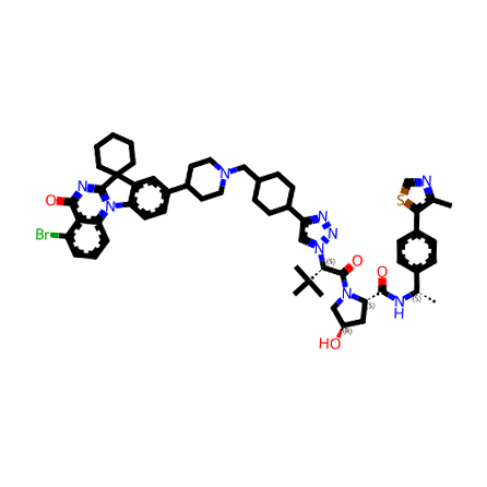 Cc1ncsc1-c1ccc([C@H](C)NC(=O)[C@@H]2C[C@@H](O)CN2C(=O)[C@@H](n2cc(C3CCC(CN4CCC(c5ccc6c(c5)C5(CCCCC5)c5nc(=O)c7c(Br)cccc7n5-6)CC4)CC3)nn2)C(C)(C)C)cc1